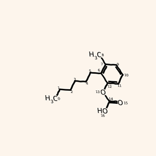 CCCCCCc1c(C)cccc1OC(=O)O